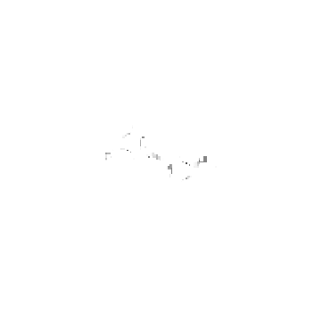 Cc1cccc(C#Cc2cccc(N)c2)c1